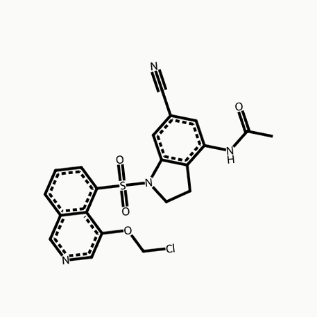 CC(=O)Nc1cc(C#N)cc2c1CCN2S(=O)(=O)c1cccc2cncc(OCCl)c12